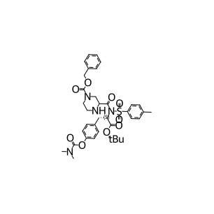 Cc1ccc(S(=O)(=O)N(C(=O)C2CN(C(=O)OCc3ccccc3)CCN2)[C@@H](Cc2ccc(OC(=O)N(C)C)cc2)C(=O)OC(C)(C)C)cc1